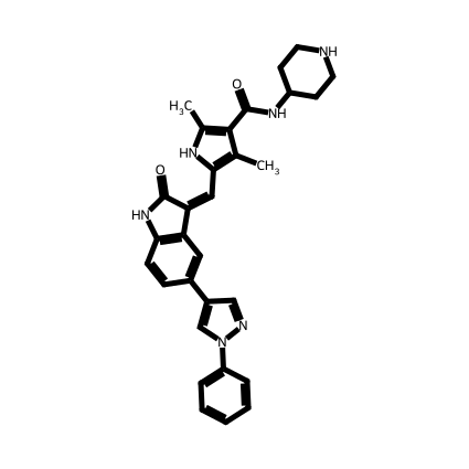 Cc1[nH]c(/C=C2\C(=O)Nc3ccc(-c4cnn(-c5ccccc5)c4)cc32)c(C)c1C(=O)NC1CCNCC1